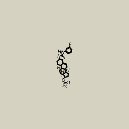 CCC(=O)O[C@H]1CC[C@H]2[C@@H]3CC=C4c5sc(Nc6cccc(F)c6)nc5CC[C@]4(C)[C@H]3CC[C@]12C